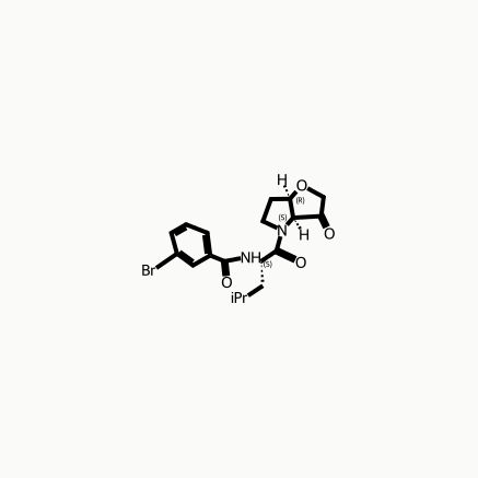 CC(C)C[C@H](NC(=O)c1cccc(Br)c1)C(=O)N1CC[C@H]2OCC(=O)[C@H]21